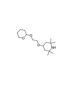 CC1(C)CC(OCCOC2CCCCO2)CC(C)(C)N1